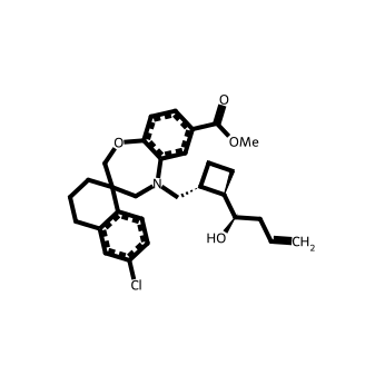 C=CC[C@@H](O)[C@@H]1CC[C@H]1CN1CC2(CCCc3cc(Cl)ccc32)COc2ccc(C(=O)OC)cc21